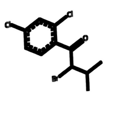 CC(C)C(Br)C(=O)c1ccc(Cl)cc1Cl